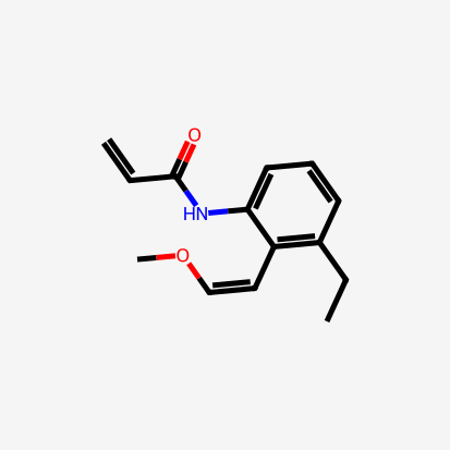 C=CC(=O)Nc1cccc(CC)c1/C=C\OC